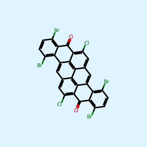 O=c1c2c(Br)ccc(Br)c2c2cc3cc(Cl)c4c(=O)c5c(Br)ccc(Br)c5c5cc6cc(Cl)c1c2c6c3c45